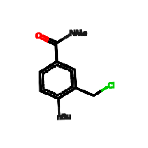 CCCCc1ccc(C(=O)NC)cc1CCl